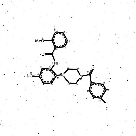 COc1ncccc1C(=O)Nc1cc(C#N)ccc1N1CCN(C(=O)c2ccc(F)cc2)CC1